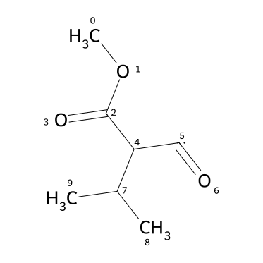 COC(=O)C([C]=O)C(C)C